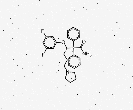 NC(=O)C(c1ccccc1)(c1ccccc1)C(CCCN1CCCC1)Oc1cc(F)cc(F)c1